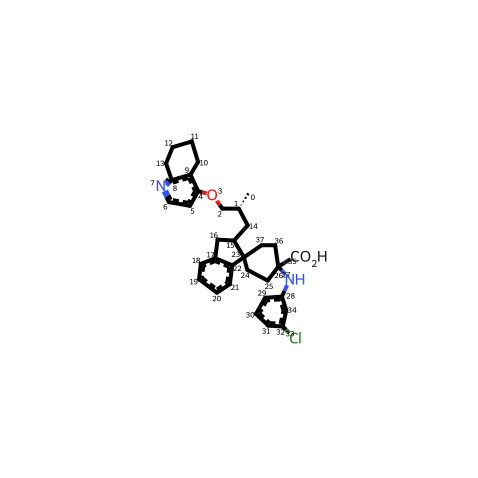 C[C@@H](COc1ccnc2c1CCCC2)CC1Cc2ccccc2C12CCC(Nc1cccc(Cl)c1)(C(=O)O)CC2